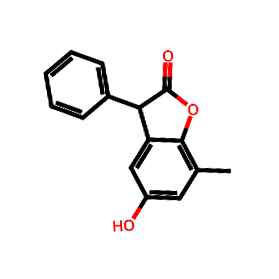 Cc1cc(O)cc2c1OC(=O)C2c1ccccc1